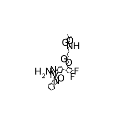 CC(C)(C)OC(=O)NCCCCC(=O)OCC1=CC(F)=C(F)CC1c1ccc2nc(N)nc(C(=O)N3Cc4ccccc4C3)c2c1